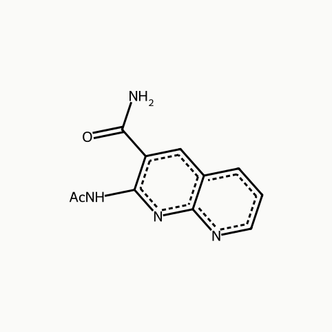 CC(=O)Nc1nc2ncccc2cc1C(N)=O